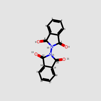 O=C1c2ccccc2C(=O)N1N1C(=O)c2ccccc2C1=O